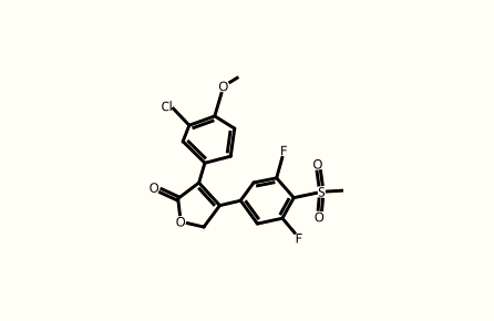 COc1ccc(C2=C(c3cc(F)c(S(C)(=O)=O)c(F)c3)COC2=O)cc1Cl